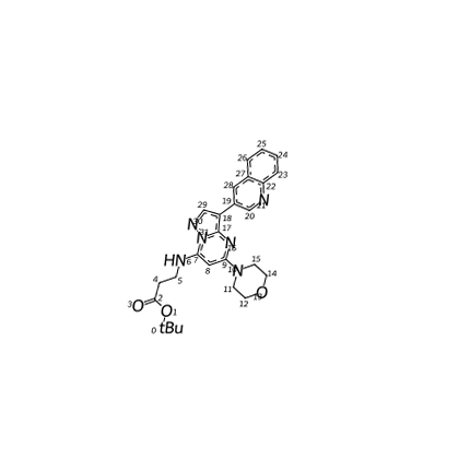 CC(C)(C)OC(=O)CCNc1cc(N2CCOCC2)nc2c(-c3cnc4ccccc4c3)cnn12